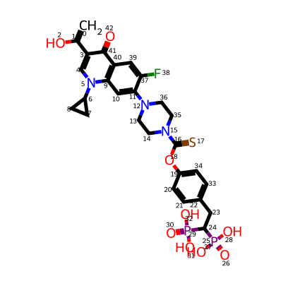 C=C(O)c1cn(C2CC2)c2cc(N3CCN(C(=S)Oc4ccc(CC(P(=O)(O)O)P(=O)(O)O)cc4)CC3)c(F)cc2c1=O